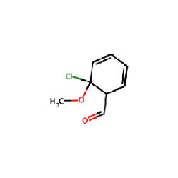 COC1(Cl)C=CC=CC1C=O